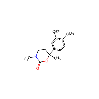 COc1ccc(C2(C)CCN(C)C(=O)O2)cc1OCC(C)C